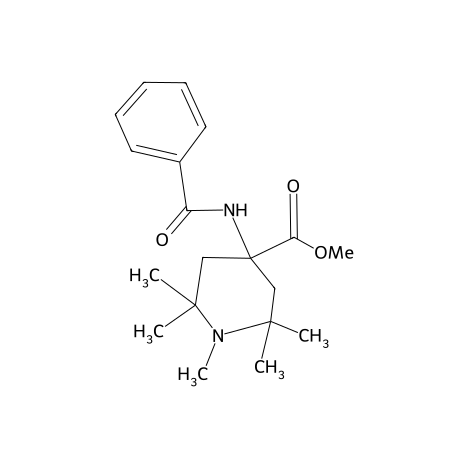 COC(=O)C1(NC(=O)c2ccccc2)CC(C)(C)N(C)C(C)(C)C1